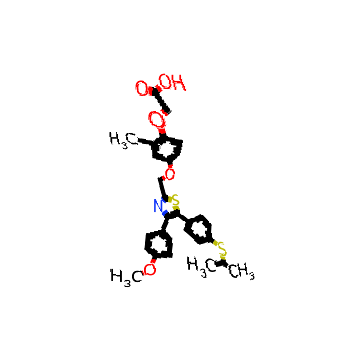 COc1ccc(-c2nc(COc3ccc(OCC(=O)O)c(C)c3)sc2-c2ccc(SC(C)C)cc2)cc1